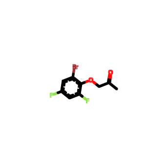 CC(=O)COc1c(F)cc(F)cc1Br